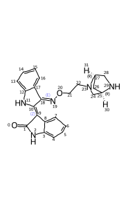 O=C1Nc2ccccc2/C1=C1/Nc2ccccc2/C1=N\OCCN1C[C@H]2C[C@@H]1CN2